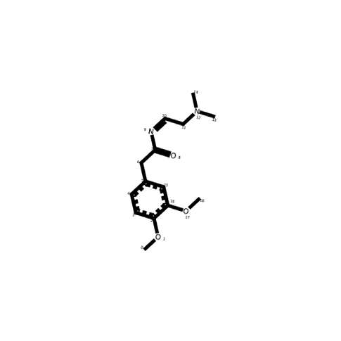 COc1ccc(CC(=O)/N=C\CN(C)C)cc1OC